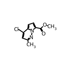 COC(=O)c1ccc2c(Cl)cc(C)nn12